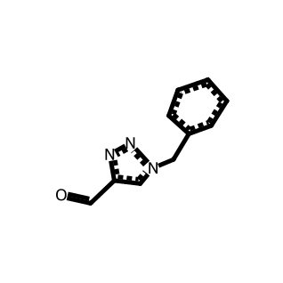 O=Cc1cn(Cc2ccccc2)nn1